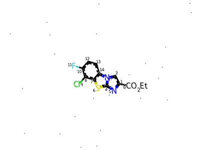 CCOC(=O)c1cn2c(n1)sc1c(Cl)c(F)ccc12